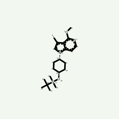 COc1nccc2c1c(I)cn2[C@H]1CC[C@H](O[Si](C)(C)C(C)(C)C)CC1